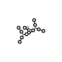 c1ccc(-c2ccc(N(c3ccc(-c4ccccc4)cc3)c3ccc4cc5c6ccc(N(c7ccc(-c8ccccc8)cc7)c7ccc(-c8ccccc8)cc7)cc6n6c7oc8ccccc8c7c(c4c3)c56)cc2)cc1